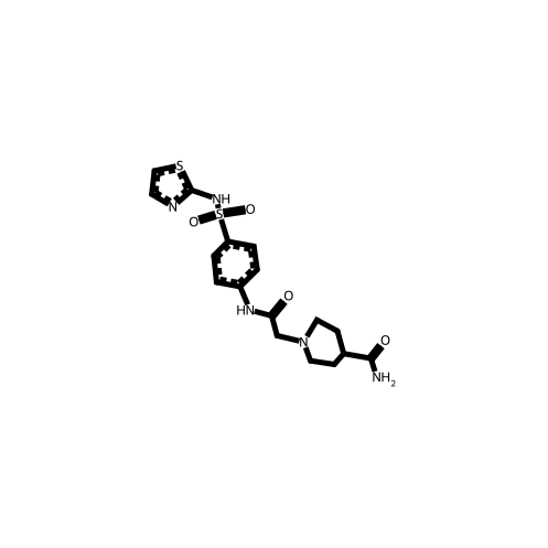 NC(=O)C1CCN(CC(=O)Nc2ccc(S(=O)(=O)Nc3nccs3)cc2)CC1